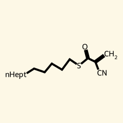 C=C(C#N)C(=O)SCCCCCCCCCCCC